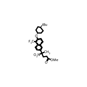 COC(=O)CCC(C)(c1ccc2c(C(F)(F)F)c(O[C@H]3CC[C@H](C(C)(C)C)CC3)ccc2c1)[N+](=O)[O-]